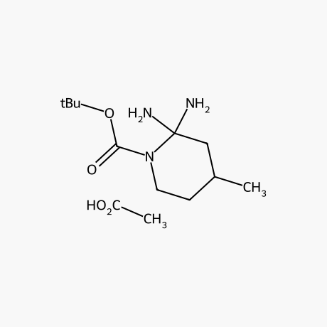 CC(=O)O.CC1CCN(C(=O)OC(C)(C)C)C(N)(N)C1